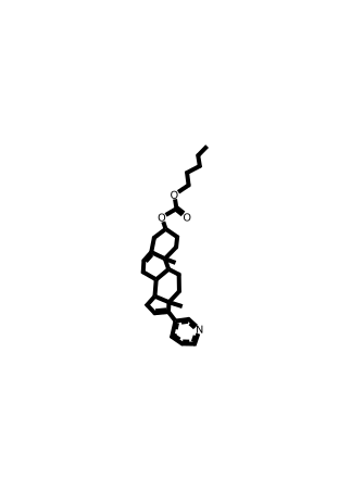 CCCCCOC(=O)OC1CCC2(C)C(=CCC3C2CCC2(C)C(c4cccnc4)=CCC32)C1